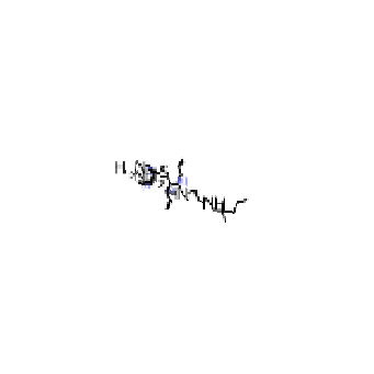 C=C/C=C(NCCNCC(C)(C)CCC)\C(=C/C=C)SC(/C=C\N)=C/N